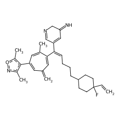 C=CC1(F)CCC(CCC/C=C(/C2=CC(=N)CN=C2)C2=CC(=C)C=C(c3c(C)noc3C)C=C2C)CC1